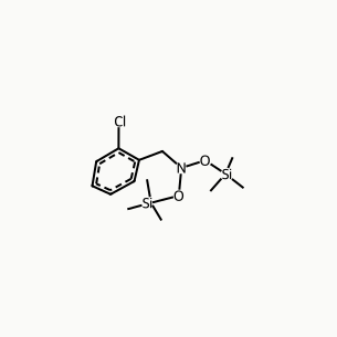 C[Si](C)(C)ON(Cc1ccccc1Cl)O[Si](C)(C)C